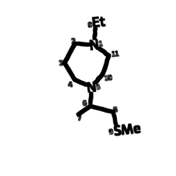 CCN1CCCN(C(C)CSC)CC1